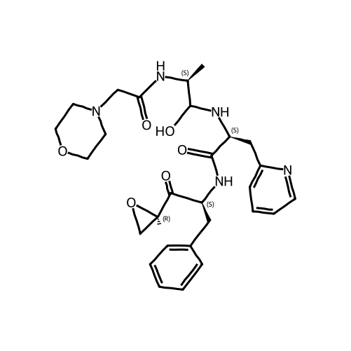 C[C@H](NC(=O)CN1CCOCC1)C(O)N[C@@H](Cc1ccccn1)C(=O)N[C@@H](Cc1ccccc1)C(=O)[C@@]1(C)CO1